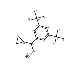 CC(C)(C)c1cc(C(CO)C2CC2)cc(C(C)(C)C)c1